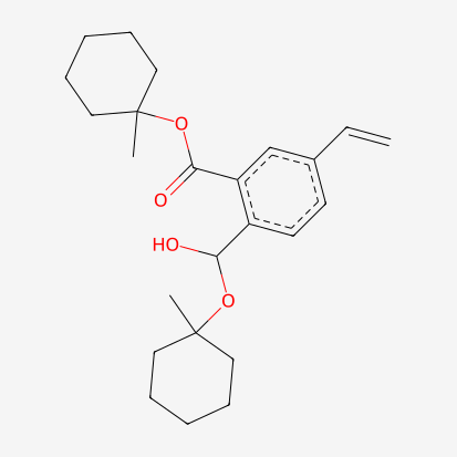 C=Cc1ccc(C(O)OC2(C)CCCCC2)c(C(=O)OC2(C)CCCCC2)c1